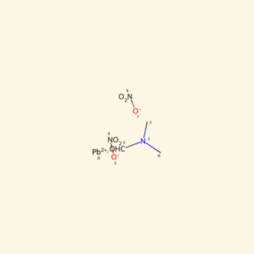 CN(C)C=O.O=[N+]([O-])[O-].O=[N+]([O-])[O-].[Pb+2]